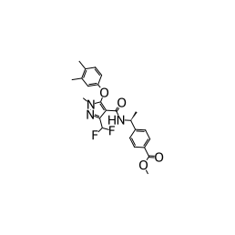 COC(=O)c1ccc([C@H](C)NC(=O)c2c(C(F)F)nn(C)c2Oc2ccc(C)c(C)c2)cc1